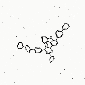 c1ccc(C2=NC(c3ccc(-c4ccc(-c5ccccc5)cc4)c4oc5ccccc5c34)NC(c3ccc(-c4ccc(-c5ccccc5)cc4)cc3)=N2)cc1